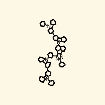 c1ccc(-c2nc(-c3cccc(-n4c5ccccc5c5cc(-c6ccc7c(c6)c6ccccc6n7-c6ccccc6)ccc54)c3)c3c(n2)-c2cccc4c(-n5c6ccccc6c6cc(-c7ccc8c(c7)c7ccccc7n8-c7ccccc7)ccc65)ccc-3c24)cc1